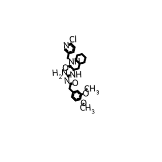 COc1ccc(CC(=O)N=C(N)NC(CC2CCCCC2)C(=O)NCc2ccc(Cl)nc2)cc1OC